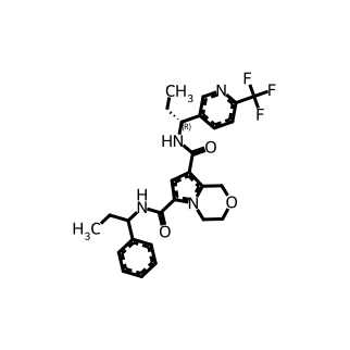 CCC(NC(=O)c1cc(C(=O)N[C@H](CC)c2ccc(C(F)(F)F)nc2)c2n1CCOC2)c1ccccc1